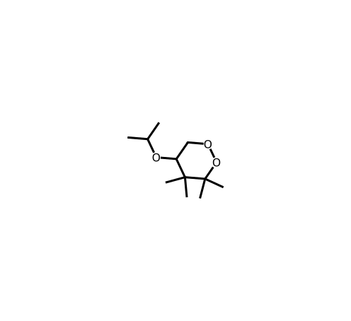 CC(C)OC1COOC(C)(C)C1(C)C